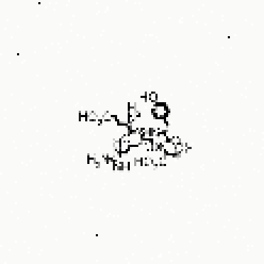 C[C@@H](O)[C@H](NC(=O)[C@@H](Cc1ccc(O)cc1)NC(=O)[C@H](CCCNC(=N)N)NC(=O)[C@@H](N)CCC(=O)O)C(=O)O